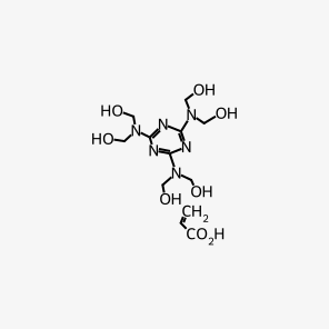 C=CC(=O)O.OCN(CO)c1nc(N(CO)CO)nc(N(CO)CO)n1